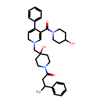 CC(CC(=O)N1CCC(O)(CN2C=C(C(=O)N3CCC(O)CC3)C(c3ccccc3)=CC2)CC1)c1ccccc1